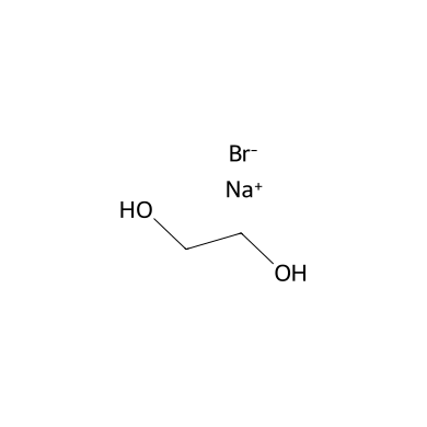 OCCO.[Br-].[Na+]